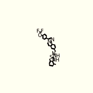 Cc1cccc(C)c1NC(=S)NN=Cc1ccc2c(ccn3c(-c4ccc(OC(F)F)cc4)cnc23)c1